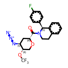 [N-]=[N+]=N[C@H]1C[C@H](C(=O)N2CCc3ccccc3[C@@H]2c2ccc(F)cc2)OC[C@@H]1OC(F)(F)F